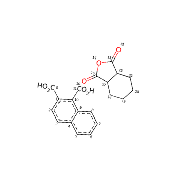 O=C(O)c1ccc2ccccc2c1C(=O)O.O=C1OC(=O)C2CCCCC12